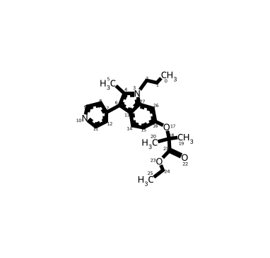 CCCn1c(C)c(-c2ccncc2)c2ccc(OC(C)(C)C(=O)OCC)cc21